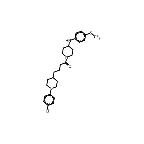 O=C(CCCC1CCN(c2ccc(Cl)cc2)CC1)N1CCC(Nc2ccc(SC(F)(F)F)cc2)CC1